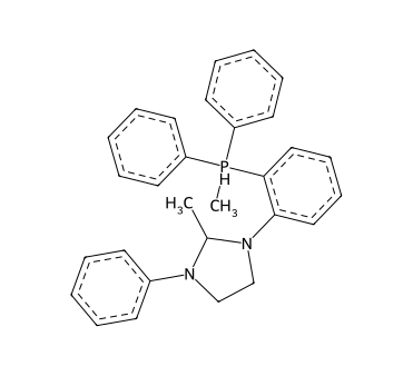 CC1N(c2ccccc2)CCN1c1ccccc1[PH](C)(c1ccccc1)c1ccccc1